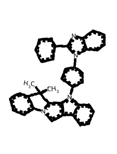 CC1(C)c2ccccc2-n2cc3c4ccccc4n(-c4ccc(-n5c(-c6ccccc6)nc6ccccc65)cc4)c3c21